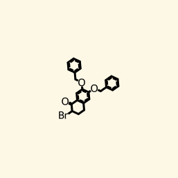 O=C1c2cc(OCc3ccccc3)c(OCc3ccccc3)cc2CCC1Br